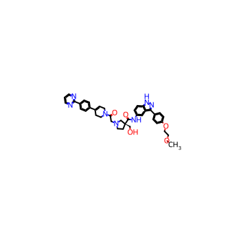 COCCOc1ccc(-c2n[nH]c3ccc(NC(=O)[C@]4(CO)CCN(CC(=O)N5CC=C(c6ccc(-c7ncccn7)cc6)CC5)C4)cc23)cc1